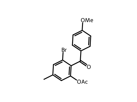 COc1ccc(C(=O)c2c(Br)cc(C)cc2OC(C)=O)cc1